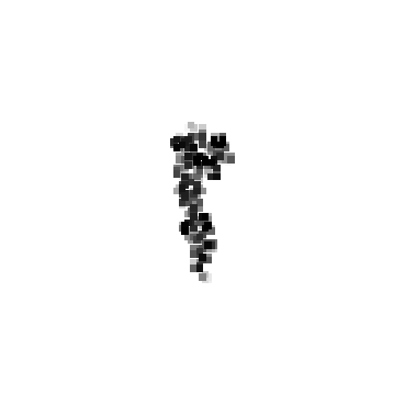 C=C(C)C(=O)OCC(COC(=O)C(C)(C)CO)Cc1ccc(CCC2OCC(CCCCC)CO2)cc1